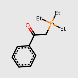 CC[P](CC)(CC)CC(=O)c1ccccc1